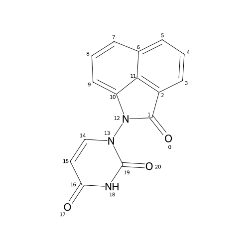 O=C1c2cccc3cccc(c23)N1n1ccc(=O)[nH]c1=O